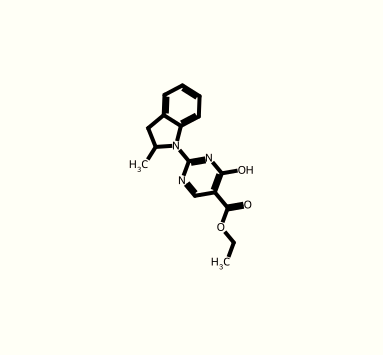 CCOC(=O)c1cnc(N2c3ccccc3CC2C)nc1O